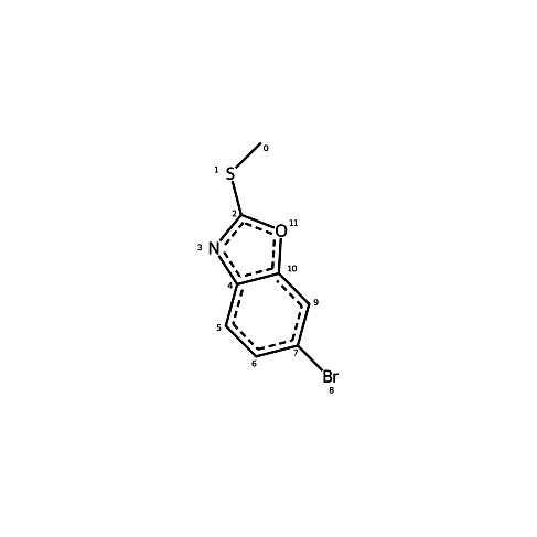 CSc1nc2ccc(Br)cc2o1